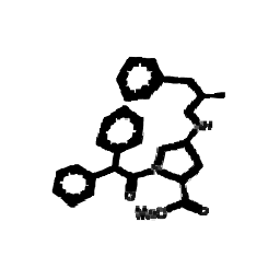 COC(=O)[C@@H]1C[C@H](NC[C@H](C)Cc2ccccc2)CN1C(=O)C(c1ccccc1)c1ccccc1